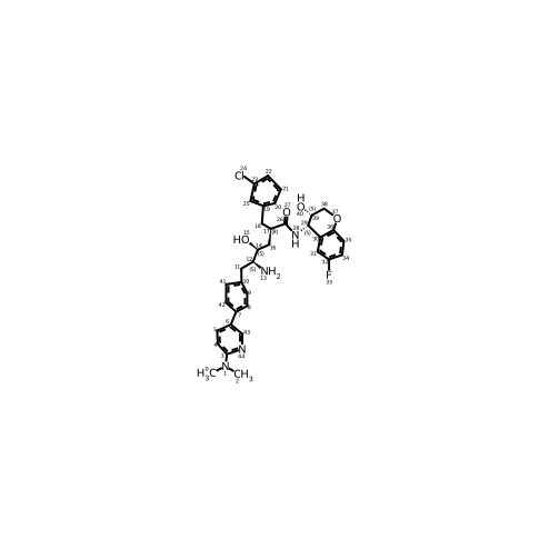 CN(C)c1ccc(-c2ccc(C[C@H](N)[C@@H](O)C[C@@H](Cc3cccc(Cl)c3)C(=O)N[C@H]3c4cc(F)ccc4OC[C@H]3O)cc2)cn1